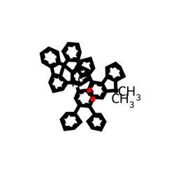 CC1(C)c2ccccc2-c2c(-c3ccccc3N(c3ccc(-c4ccccc4)c(-c4ccccc4)c3)c3cccc4c3C3(c5ccccc5-c5ccccc53)c3ccccc3-4)cccc21